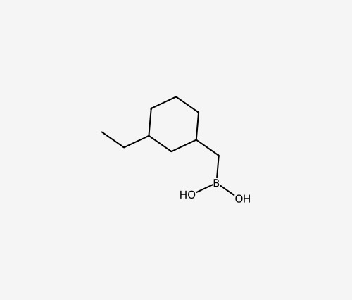 CCC1CCCC(CB(O)O)C1